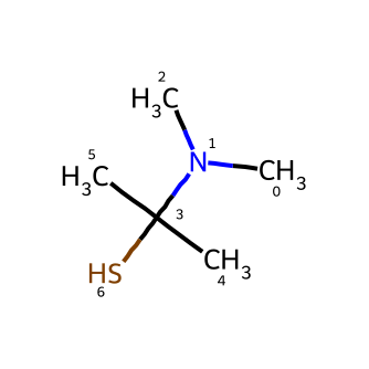 CN(C)C(C)(C)S